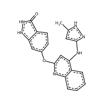 Cc1cc(Nc2cc(Oc3ccc4c(=O)[nH][nH]c4c3)nc3ccccc23)n[nH]1